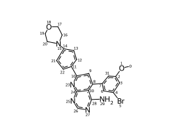 COc1cc(Br)cc(-c2cc(-c3ccc(N4CCOCC4)cc3)nc3ncnc(N)c23)c1